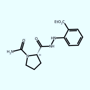 CCOC(=O)c1ccccc1NNC(=O)[C@@H]1CCCN1C(N)=O